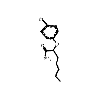 CCCCCC(Oc1ccc(Cl)cc1)C(N)=O